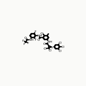 Cc1cc(NC(=O)C2[C@H](c3cc(Cl)c(Cl)c(Cl)c3)C2(Cl)Cl)cc(C(=O)Nc2c(F)ccc(NC(=O)C(F)(F)F)c2F)c1Cl